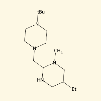 CCC1CNC(CN2CCN(C(C)(C)C)CC2)N(C)C1